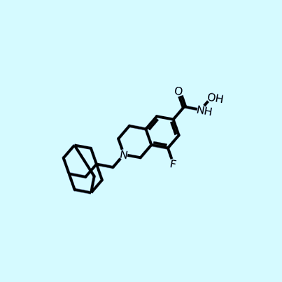 O=C(NO)c1cc(F)c2c(c1)CCN(CC13CC4CC(CC(C4)C1)C3)C2